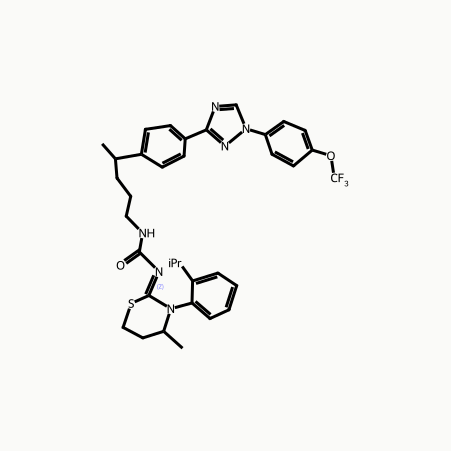 CC(C)c1ccccc1N1/C(=N/C(=O)NCCCC(C)c2ccc(-c3ncn(-c4ccc(OC(F)(F)F)cc4)n3)cc2)SCCC1C